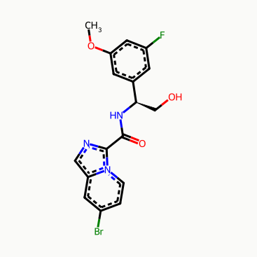 COc1cc(F)cc([C@@H](CO)NC(=O)c2ncc3cc(Br)ccn23)c1